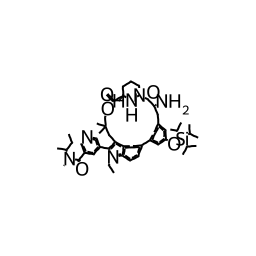 CCC(C)N(C)C(=O)c1cncc(-c2c3c4cc(ccc4n2CC)-c2cc(cc(O[Si](C(C)C)(C(C)C)C(C)C)c2)C[C@H](N)C(=O)N2CCC[C@H](N2)C(=O)OCC(C)(C)C3)c1